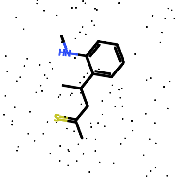 CNc1ccccc1C(C)CC(C)=S